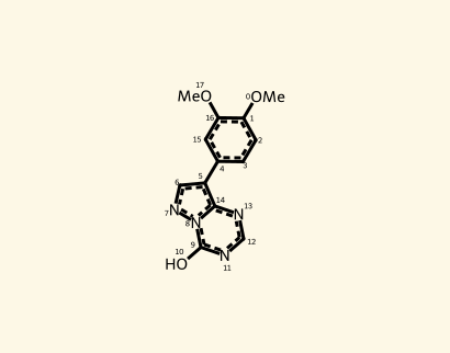 COc1ccc(-c2cnn3c(O)ncnc23)cc1OC